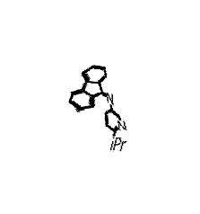 CC(C)c1ccc(N=C2c3ccccc3-c3ccccc32)cn1